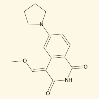 CO/C=C1/C(=O)NC(=O)c2ccc(N3CCCC3)cc21